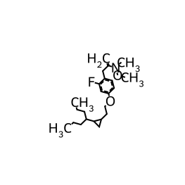 C=C(Cc1ccc(OCCC2CC2C(CCC)CCC)cc1F)N(C)OC